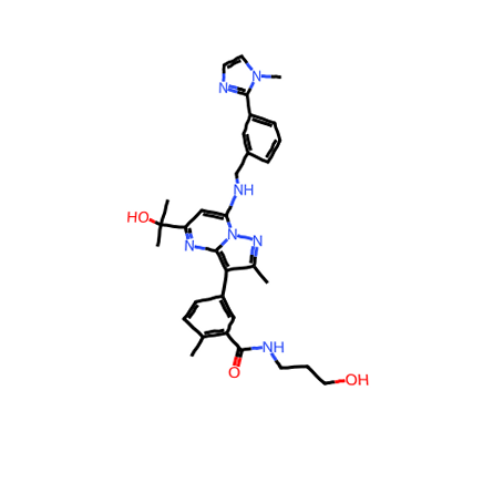 Cc1ccc(-c2c(C)nn3c(NCc4cccc(-c5nccn5C)c4)cc(C(C)(C)O)nc23)cc1C(=O)NCCCO